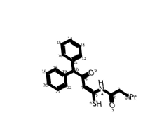 CC(C)CC(=O)N/C(S)=C\C(=O)C(c1ccccc1)c1ccccc1